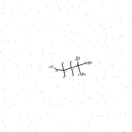 CCCC(CC)(CCC)C(C)(C)C(C)(C)CF